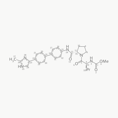 COC(=O)N[C@H](C(=O)N1CCC[C@H]1C(=O)Nc1ccc(-c2ccc(-c3c[nH]c(C)n3)cc2)cc1)C(C)C